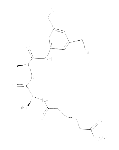 COC(=O)CCCCC(=O)N[C@H](C(=O)N[C@@H](C)C(=O)Nc1cc(CBr)cc(CBr)c1)C(C)C